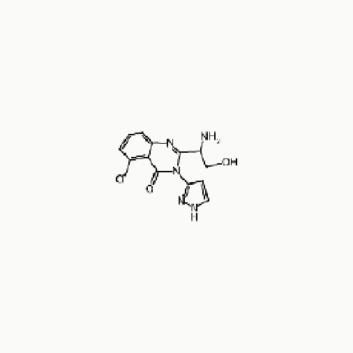 NC(CO)c1nc2cccc(Cl)c2c(=O)n1-c1cc[nH]n1